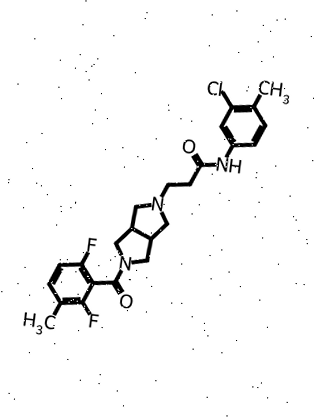 Cc1ccc(NC(=O)CCN2CC3CN(C(=O)c4c(F)ccc(C)c4F)CC3C2)cc1Cl